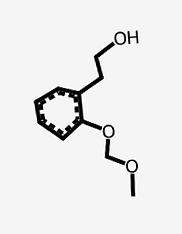 COCOc1ccccc1CCO